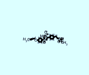 CC#CCOc1ccc(S(=O)(=O)CC(c2ccc(CCNS(C)(=O)=O)cc2)N(O)C=O)cc1